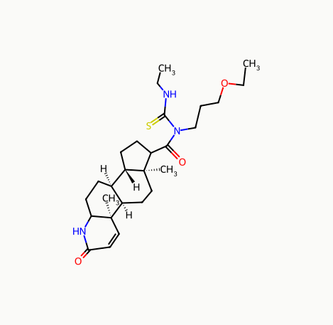 CCNC(=S)N(CCCOCC)C(=O)C1CC[C@H]2[C@@H]3CCC4NC(=O)C=C[C@]4(C)[C@@H]3CC[C@]12C